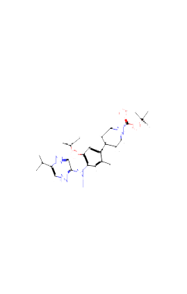 Cc1cc(Nc2cnc(C(C)C)cn2)c(OC(C)C)cc1C1CCN(C(=O)OC(C)(C)C)CC1